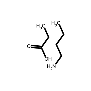 CCC(=O)O.CCCCN